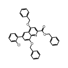 O=C(OCc1ccccc1)c1cc(OCc2ccccc2)c2cc(-c3ccccc3Cl)cc(OCc3ccccc3)c2n1